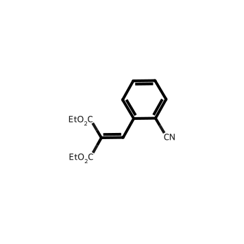 CCOC(=O)C(=Cc1ccccc1C#N)C(=O)OCC